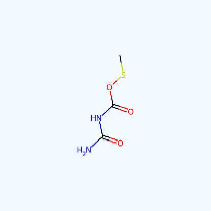 CSOC(=O)NC(N)=O